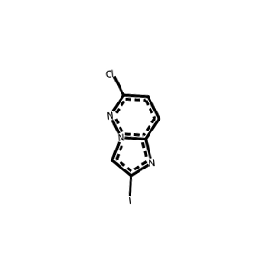 Clc1ccc2nc(I)cn2n1